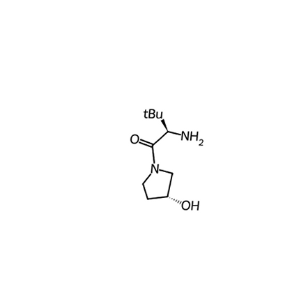 CC(C)(C)[C@@H](N)C(=O)N1CC[C@@H](O)C1